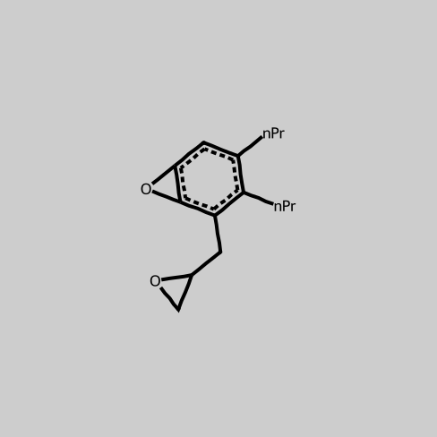 CCCc1cc2c(c(CC3CO3)c1CCC)O2